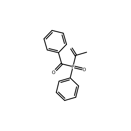 C=C(C)P(=O)(C(=O)c1ccccc1)c1ccccc1